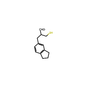 O=[C]C(CS)Cc1ccc2c(c1)CCC2